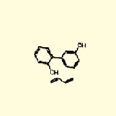 C=CC=C.Oc1cccc(-c2ccccc2O)c1